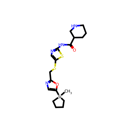 C[Si]1(c2cnc(CSc3cnc(NC(=O)C4CCCNC4)s3)o2)CCCC1